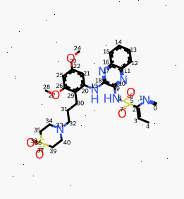 C=N/C(=C\C)S(=O)(=O)Nc1nc2ccccc2nc1Nc1cc(OC)cc(OC)c1CCCN1CCS(=O)(=O)CC1